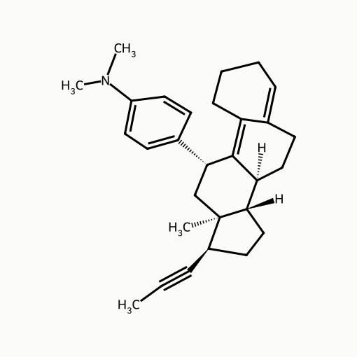 CC#C[C@@H]1CC[C@H]2[C@@H]3CCC4=CCCCC4=C3[C@@H](c3ccc(N(C)C)cc3)C[C@]12C